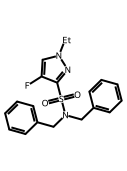 CCn1cc(F)c(S(=O)(=O)N(Cc2ccccc2)Cc2ccccc2)n1